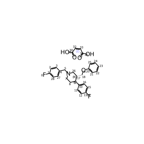 Fc1ccc(CN2CC[C@H](c3ccc(F)cc3)[C@@H](COc3ccccc3)C2)cc1.O=C(O)/C=C\C(=O)O